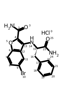 Cl.NC(=O)c1oc2ccc(Br)cc2c1N[C@@H](Cc1ccccc1)C(N)=O